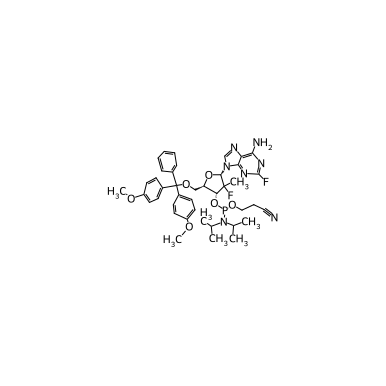 COc1ccc(C(OC[C@H]2O[C@@H](n3cnc4c(N)nc(F)nc43)C(C)(F)[C@@H]2OP(OCCC#N)N(C(C)C)C(C)C)(c2ccccc2)c2ccc(OC)cc2)cc1